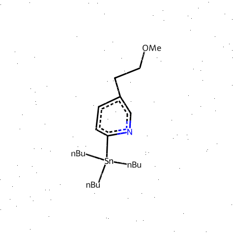 CCC[CH2][Sn]([CH2]CCC)([CH2]CCC)[c]1ccc(CCOC)cn1